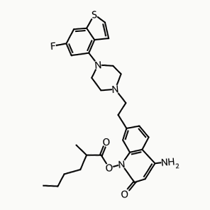 CCCCC(C)C(=O)On1c(=O)cc(N)c2ccc(CCN3CCN(c4cc(F)cc5sccc45)CC3)cc21